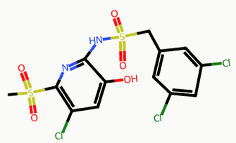 CS(=O)(=O)c1nc(NS(=O)(=O)Cc2cc(Cl)cc(Cl)c2)c(O)cc1Cl